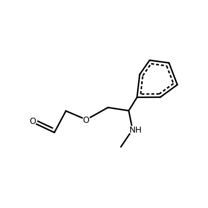 CNC(COCC=O)c1ccccc1